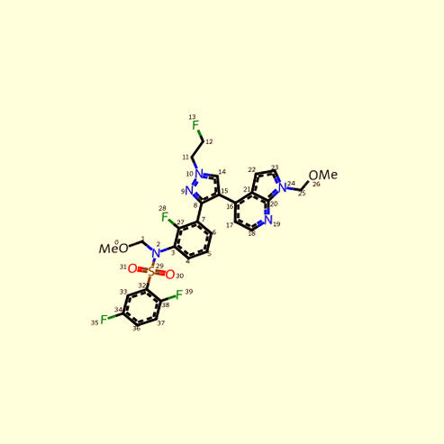 COCN(c1cccc(-c2nn(CCF)cc2-c2ccnc3c2ccn3COC)c1F)S(=O)(=O)c1cc(F)ccc1F